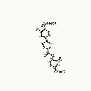 CCCCCCCOc1ccc(-c2ccc(C(=O)Oc3ccc(CCCCC)cc3F)cc2)cc1F